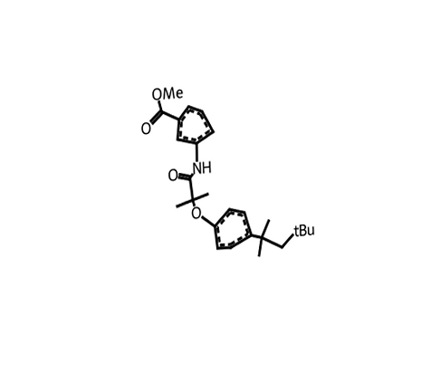 COC(=O)c1cccc(NC(=O)C(C)(C)Oc2ccc(C(C)(C)CC(C)(C)C)cc2)c1